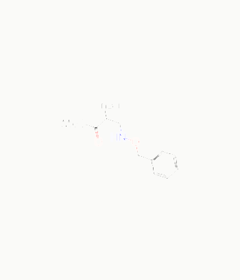 CCCCC(CNOCc1ccccc1)C(=O)OC